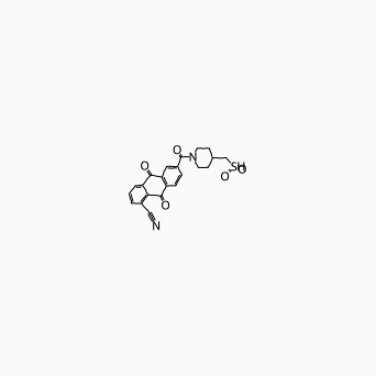 N#Cc1cccc2c1C(=O)c1ccc(C(=O)N3CCC(C[SH](=O)=O)CC3)cc1C2=O